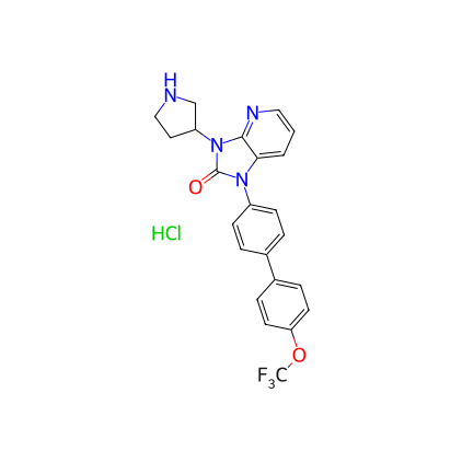 Cl.O=c1n(-c2ccc(-c3ccc(OC(F)(F)F)cc3)cc2)c2cccnc2n1C1CCNC1